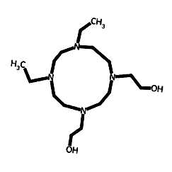 CCN1CCN(CC)CCN(CCO)CCN(CCO)CC1